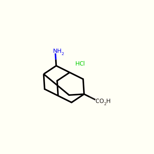 Cl.NC1C2CC3CC1CC(C(=O)O)(C3)C2